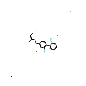 C/C=C(/C)CCc1ccc(-c2ccccc2F)c(F)c1